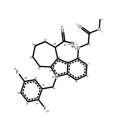 COC(=O)COc1cccc2c1c1c(n2Cc2cc(F)ccc2F)CCCCC1C(N)=O